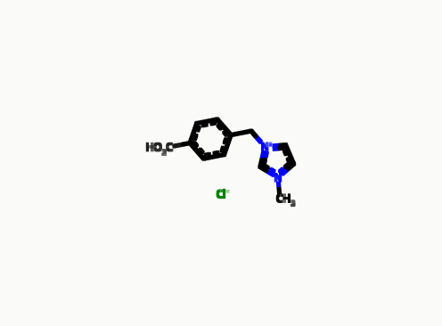 Cn1cc[n+](Cc2ccc(C(=O)O)cc2)c1.[Cl-]